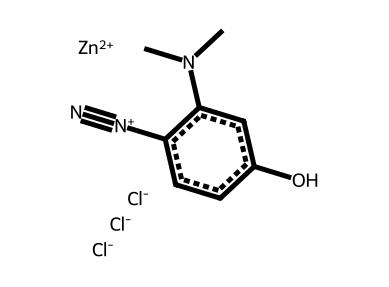 CN(C)c1cc(O)ccc1[N+]#N.[Cl-].[Cl-].[Cl-].[Zn+2]